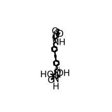 CS(=O)(=O)N1CC[C@@H](NCc2ccc(C#Cc3ccc([C@@H](CO)Cc4nc[nH]c(=O)c4O)cc3)cc2)C1